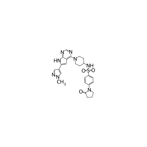 Cn1cc(-c2cc3c(N4CCC(NS(=O)(=O)c5ccc(N6CCCC6=O)cc5)CC4)ncnc3[nH]2)cn1